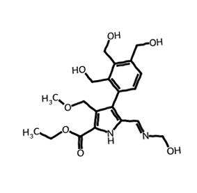 CCOC(=O)c1[nH]c(/C=N/CO)c(-c2ccc(CO)c(CO)c2CO)c1COC